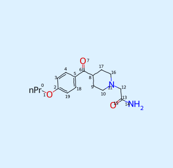 CCCOc1ccc(C(=O)C2CCN(CC(N)=O)CC2)cc1